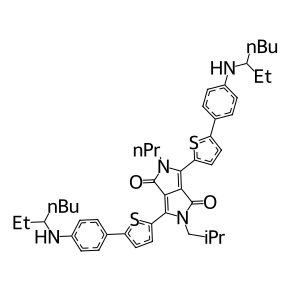 CCCCC(CC)Nc1ccc(-c2ccc(C3=C4C(=O)N(CC(C)C)C(c5ccc(-c6ccc(NC(CC)CCCC)cc6)s5)=C4C(=O)N3CCC)s2)cc1